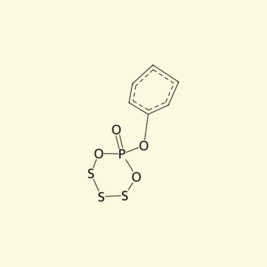 O=P1(Oc2ccccc2)OSSSO1